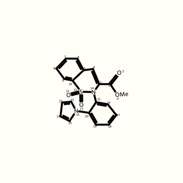 COC(=O)C1=Cc2ccccc2S(=O)(=O)N1c1ccccc1-n1cccc1